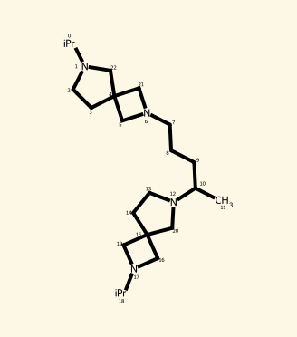 CC(C)N1CCC2(CN(CCCC(C)N3CCC4(CN(C(C)C)C4)C3)C2)C1